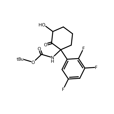 CC(C)(C)OC(=O)NC1(c2cc(F)cc(F)c2F)CCCC(O)C1=O